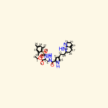 CCOC(=O)[C@H](CNC(=O)c1cc(CCC2CCc3cccnc3N2)c[nH]1)NS(=O)(=O)c1c(C)cc(C)cc1C